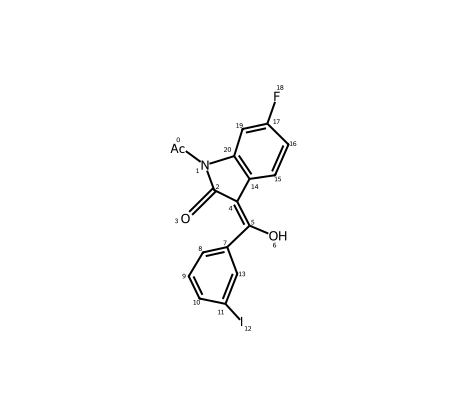 CC(=O)N1C(=O)C(=C(O)c2cccc(I)c2)c2ccc(F)cc21